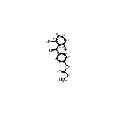 CCC(=O)Oc1ccc(C(=O)c2c(F)cccc2F)cc1